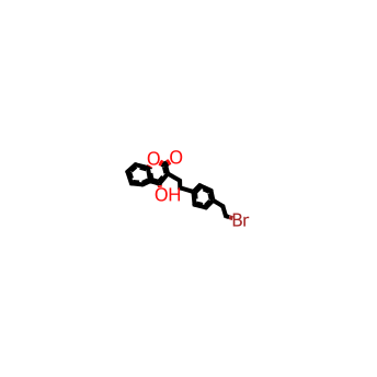 O=c1oc2ccccc2c(O)c1CCc1ccc(CCBr)cc1